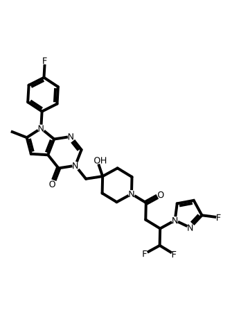 Cc1cc2c(=O)n(CC3(O)CCN(C(=O)CC(C(F)F)n4ccc(F)n4)CC3)cnc2n1-c1ccc(F)cc1